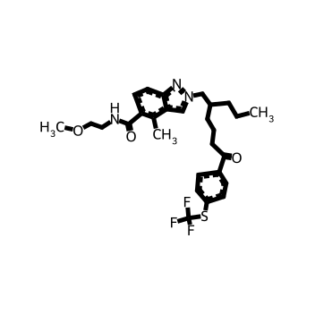 CCCC(CCCC(=O)c1ccc(SC(F)(F)F)cc1)Cn1cc2c(C)c(C(=O)NCCOC)ccc2n1